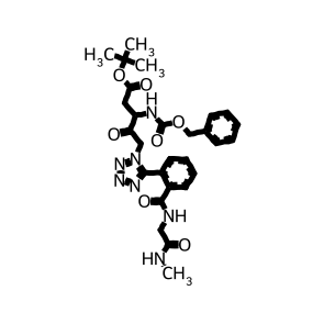 CNC(=O)CNC(=O)c1ccccc1-c1nnnn1CC(=O)C(CC(=O)OC(C)(C)C)NC(=O)OCc1ccccc1